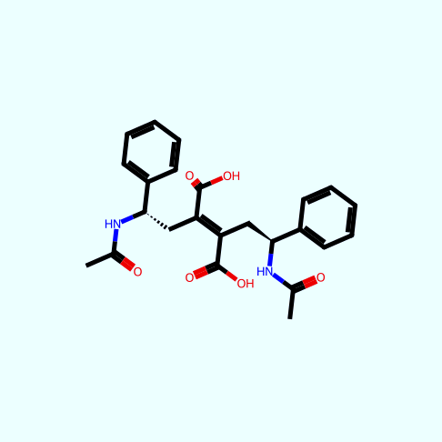 CC(=O)N[C@@H](CC(C(=O)O)=C(C[C@H](NC(C)=O)c1ccccc1)C(=O)O)c1ccccc1